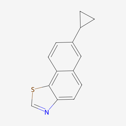 c1nc2ccc3cc(C4CC4)ccc3c2s1